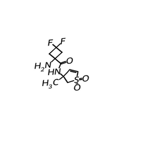 CC1(NC(=O)C2(N)CC(F)(F)C2)C=CS(=O)(=O)C1